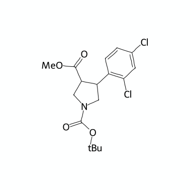 COC(=O)C1CN(C(=O)OC(C)(C)C)CC1c1ccc(Cl)cc1Cl